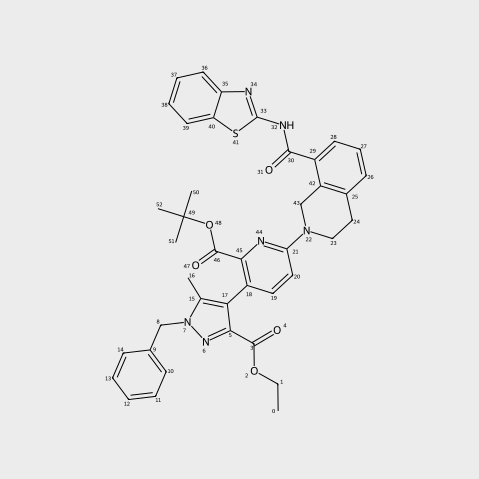 CCOC(=O)c1nn(Cc2ccccc2)c(C)c1-c1ccc(N2CCc3cccc(C(=O)Nc4nc5ccccc5s4)c3C2)nc1C(=O)OC(C)(C)C